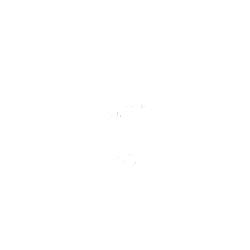 O=C(O)C(CC1CCCCC1)N1CC(OCC2COc3ccccc3O2)=CC1=O